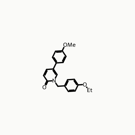 CCOc1ccc(Cn2cc(-c3ccc(OC)cc3)ccc2=O)cc1